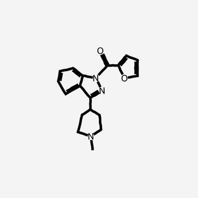 CN1CCC(c2nn(C(=O)c3ccco3)c3ccccc23)CC1